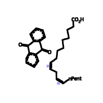 CCCCC/C=C\C/C=C\CCCCCCCC(=O)O.O=C1c2ccccc2C(=O)c2ccccc21